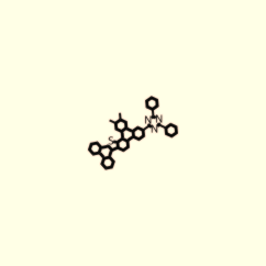 Cc1cc2c3cc(-c4nc(-c5ccccc5)nc(-c5ccccc5)n4)ccc3c3ccc4c(sc5c6ccccc6c6ccccc6c45)c3c2cc1C